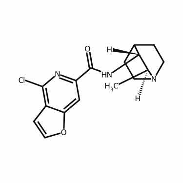 C[C@H]1[C@H](NC(=O)c2cc3occc3c(Cl)n2)C2CCN1CC2